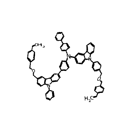 C=Cc1ccc(COCc2ccc(-n3c4ccccc4c4cc(N(c5ccc(-c6ccccc6)cc5)c5ccc(-c6ccc7c(c6)c6cc(COCc8ccc(C=C)cc8)ccc6n7-c6ccccc6)cc5)ccc43)cc2)cc1